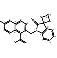 C=C(C)c1c(CN2C(=O)C3(CNC3)c3ccncc32)ncc2cc(C)ccc12